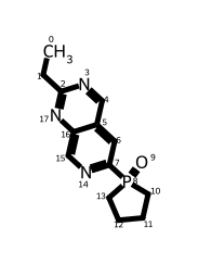 CCc1ncc2cc(P3(=O)CCCC3)ncc2n1